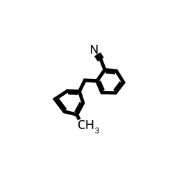 Cc1cccc(Cc2ccccc2C#N)c1